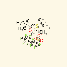 CC(C)[S+](CC(=O)C(C)(C)C)C(C)C.O=S(=O)([O-])C(F)(F)C(F)(F)C(F)(F)C(F)(F)F